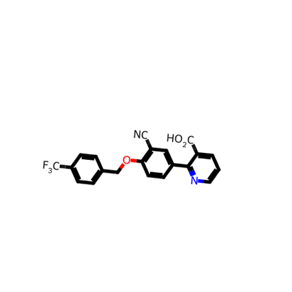 N#Cc1cc(-c2ncccc2C(=O)O)ccc1OCc1ccc(C(F)(F)F)cc1